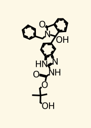 CC(C)(CO)COC(=O)Nc1nc2cc(C3(O)c4ccccc4C(=O)N3Cc3ccccc3)ccc2[nH]1